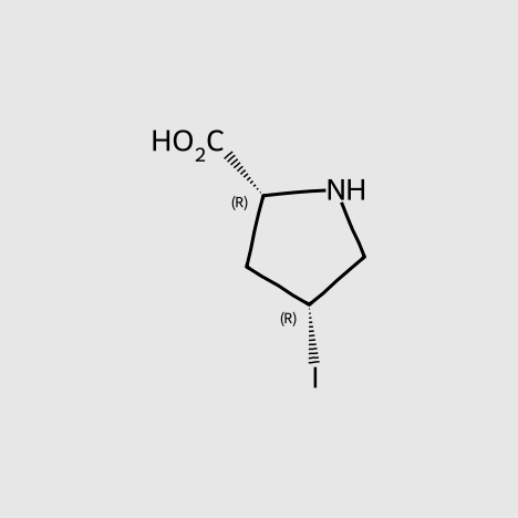 O=C(O)[C@H]1C[C@@H](I)CN1